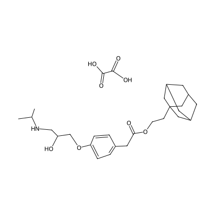 CC(C)NCC(O)COc1ccc(CC(=O)OCCC23CC4CC(CC(C4)C2)C3)cc1.O=C(O)C(=O)O